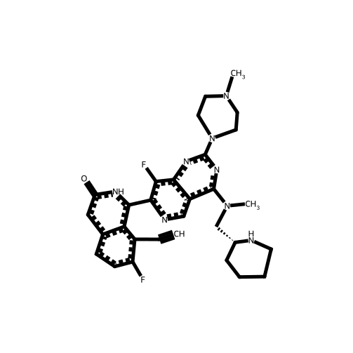 C#Cc1c(F)ccc2cc(=O)[nH]c(-c3ncc4c(N(C)C[C@H]5CCCCN5)nc(N5CCN(C)CC5)nc4c3F)c12